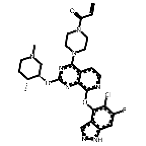 C=CC(=O)N1CCN(c2nc(O[C@@H]3CN(C)CC[C@H]3C)nc3c(Oc4c(Cl)c(F)cc5[nH]ncc45)nccc23)CC1